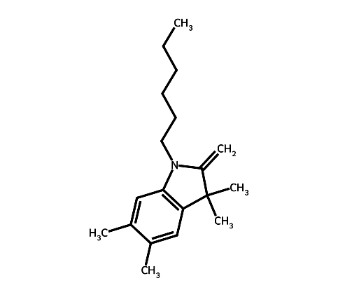 C=C1N(CCCCCC)c2cc(C)c(C)cc2C1(C)C